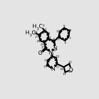 Cc1cc2c(-c3ccccc3)nn(-c3ccnc(C4COC4)c3)c(=O)c2cc1C